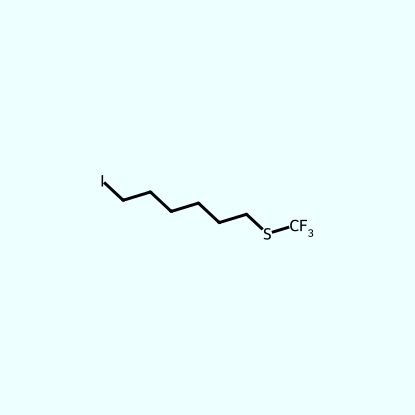 FC(F)(F)SCCCCCCI